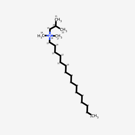 CCCCCCCCCCCCCCCC[N+](C)(C)CC(C)C